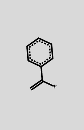 C=C(F)c1ccccc1